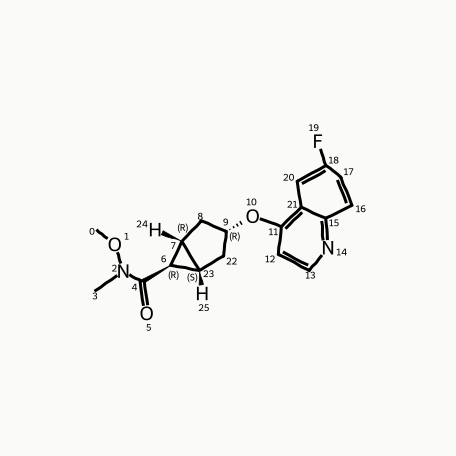 CON(C)C(=O)[C@H]1[C@@H]2C[C@H](Oc3ccnc4ccc(F)cc34)C[C@@H]21